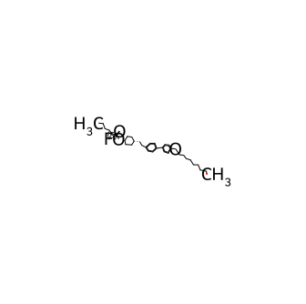 CCCCCCCCCOc1ccc(-c2ccc(CC[C@H]3CC[C@H](OC(=O)[C@@H](F)CCCC)CC3)cc2)cc1